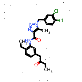 CCC(=O)Cc1ccc(CC)c(NC(=O)c2nnn(Cc3ccc(Cl)c(Cl)c3)c2C)c1